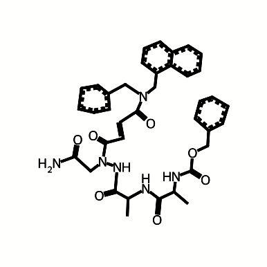 CC(NC(=O)OCc1ccccc1)C(=O)NC(C)C(=O)NN(CC(N)=O)C(=O)/C=C/C(=O)N(Cc1ccccc1)Cc1cccc2ccccc12